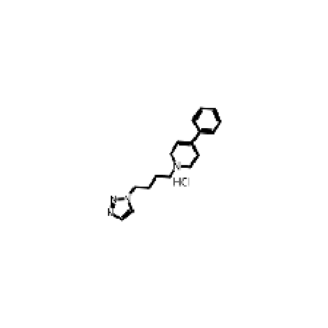 C1=C(c2ccccc2)CCN(CCCCn2ccnn2)C1.Cl